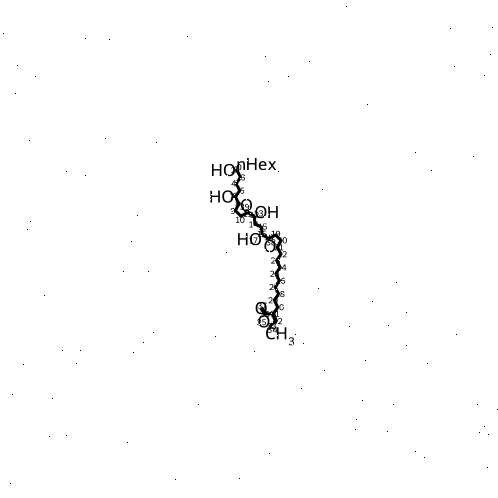 CCCCCCC(O)CCCC(O)C1CCC(C(O)CCC(O)C2CCC(CCCCCCCCCC3=CC(C)OC3=O)O2)O1